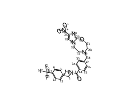 O=C(NCc1ccc(C(F)(F)F)cc1)c1ccc(CN2CCOc3nc([N+](=O)[O-])cn3CC2)cc1